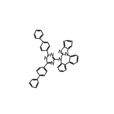 c1ccc(-c2ccc(-c3nc(-c4ccc(-c5ccccc5)cc4)nc(N4c5ccccc5-c5ccccc5-n5c4nc4ccccc45)n3)cc2)cc1